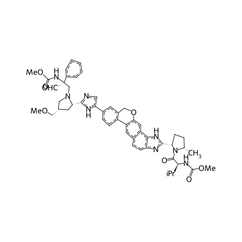 COC[C@H]1C[C@@H](c2ncc(-c3ccc4c(c3)COc3cc5c(ccc6nc([C@@H]7CC[C@H](C)N7C(=O)[C@@H](NC(=O)OC)C(C)C)[nH]c65)cc3-4)[nH]2)N(C[C@@](C=O)(NC(=O)OC)c2ccccc2)C1